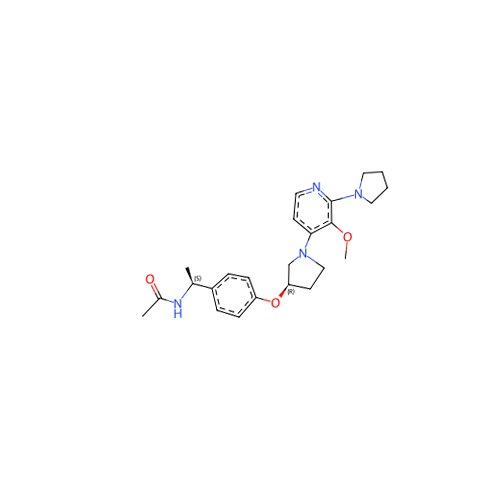 COc1c(N2CC[C@@H](Oc3ccc([C@H](C)NC(C)=O)cc3)C2)ccnc1N1CCCC1